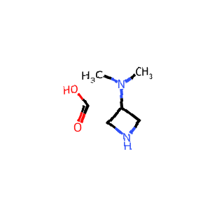 CN(C)C1CNC1.O=CO